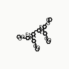 CCc1cc(Cc2cc(C)c(N(c3ccc(COC4CCCCO4)cc3)c3ccc(COC4CCCCO4)cc3)c(CC)c2)cc(C)c1N(c1ccc(COC2CCCCO2)cc1)c1ccc(COC2CCCCO2)cc1